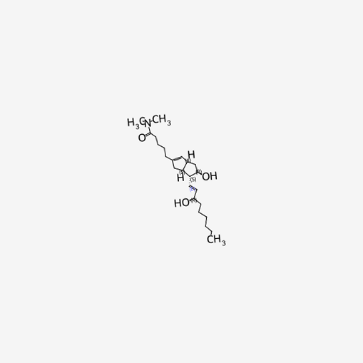 CCCCCC[C@@H](O)/C=C/[C@@H]1[C@H]2CC(CCCCC(=O)N(C)C)=C[C@H]2C[C@H]1O